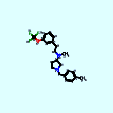 Cc1ccc(CN2CCC(N(C)CCc3cccc(OC(F)(F)F)c3)C2)cc1